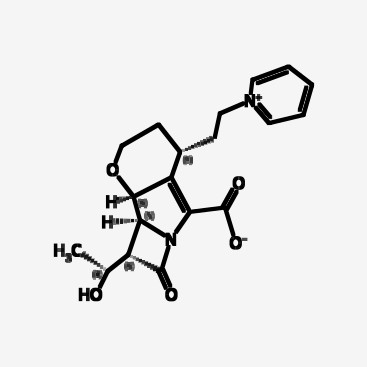 C[C@@H](O)[C@H]1C(=O)N2C(C(=O)[O-])=C3[C@@H](CC[n+]4ccccc4)CCO[C@@H]3[C@H]12